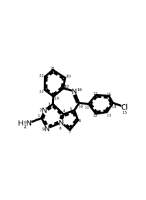 Nc1nc2c3c(ccn3n1)C(c1ccc(Cl)cc1)=Nc1ccccc1-2